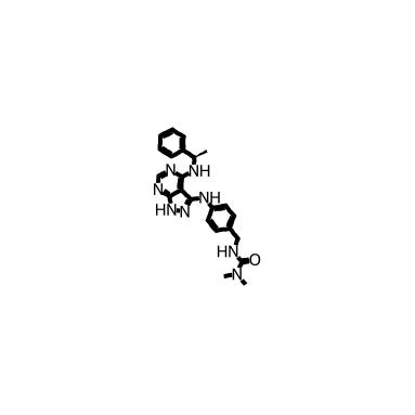 C[C@@H](Nc1ncnc2[nH]nc(Nc3ccc(CNC(=O)N(C)C)cc3)c12)c1ccccc1